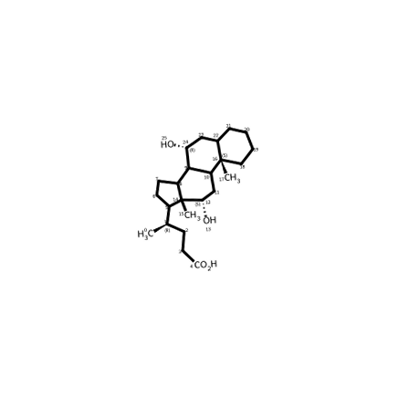 C[C@H](CCC(=O)O)C1CCC2C3C(C[C@H](O)C21C)[C@@]1(C)CCCCC1C[C@H]3O